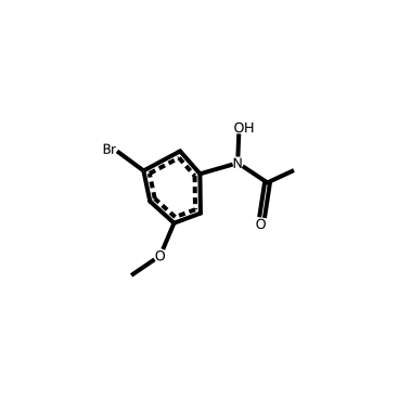 COc1cc(Br)cc(N(O)C(C)=O)c1